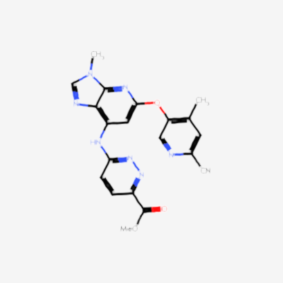 COC(=O)c1ccc(Nc2cc(Oc3cnc(C#N)cc3C)nc3c2ncn3C)nn1